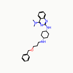 CN(C)c1nc(N[C@H]2CC[C@@H](NCCCOCc3ccccc3)CC2)nc2ccccc12